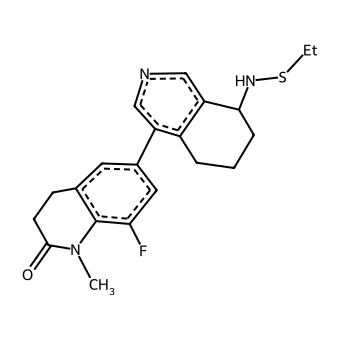 CCSNC1CCCc2c(-c3cc(F)c4c(c3)CCC(=O)N4C)cncc21